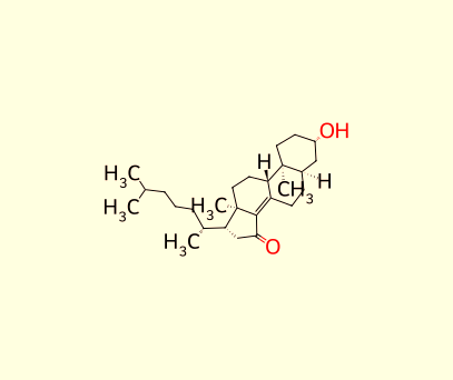 CC(C)CCC[C@@H](C)[C@H]1CC(=O)C2=C3CC[C@@H]4C[C@@H](O)CC[C@]4(C)[C@H]3CC[C@@]21C